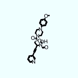 COc1ccc(N2CCN(S(=O)(=O)CC(C#Cc3cccnc3)N(O)C=O)CC2)cc1